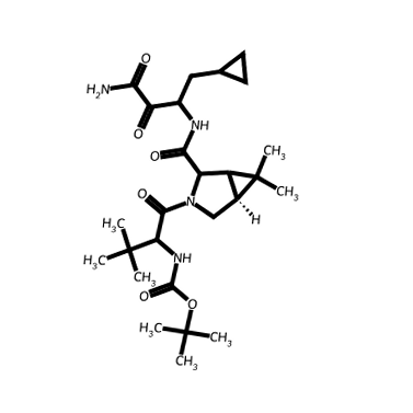 CC(C)(C)OC(=O)NC(C(=O)N1C[C@H]2C(C1C(=O)NC(CC1CC1)C(=O)C(N)=O)C2(C)C)C(C)(C)C